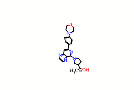 C[C@H](O)C1CCN(c2nc(-c3ccc(N4CCOCC4)cc3)cc3nccnc23)C1